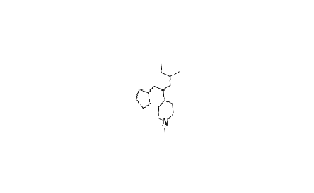 CCC(C)CC(CC1CCCC1)C1CCN(C)CC1